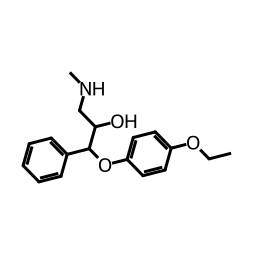 CCOc1ccc(OC(c2ccccc2)C(O)CNC)cc1